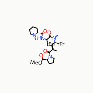 COC(=O)[C@@H]1CCCN1C(=O)/C(C)=C/[C@H](C(C)C)N(C)C(=O)C(NC(=O)[C@H]1CCCCN1C)C(C)(C)C